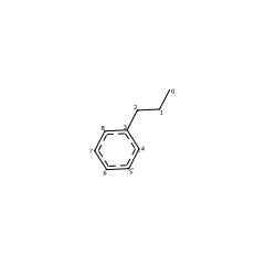 CCCc1[c][c]ccc1